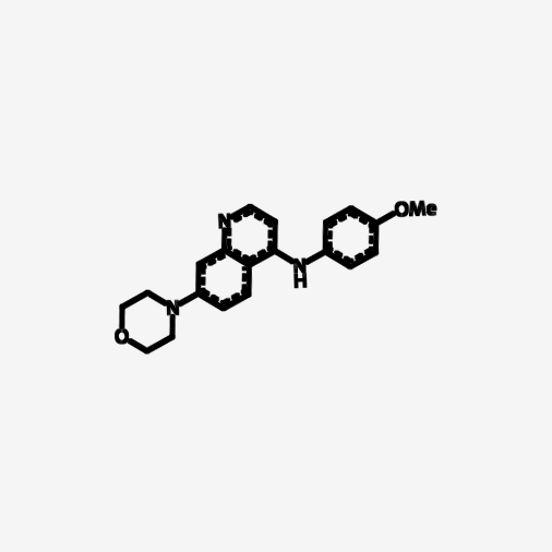 COc1ccc(Nc2ccnc3cc(N4CCOCC4)ccc23)cc1